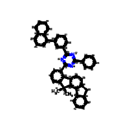 CC1(C)c2cccc(-c3nc(-c4ccccc4)nc(-c4cccc(-c5cccc6ccccc56)c4)n3)c2-c2ccc3c(c21)-c1ccccc1C3